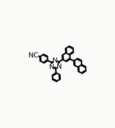 N#Cc1ccc(-c2nc(-c3ccccc3)nc(-c3cc(-c4ccc5ccccc5c4)c4ccccc4c3)n2)cc1